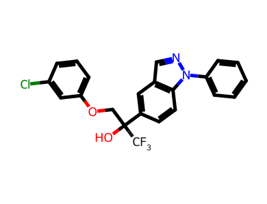 OC(COc1cccc(Cl)c1)(c1ccc2c(cnn2-c2ccccc2)c1)C(F)(F)F